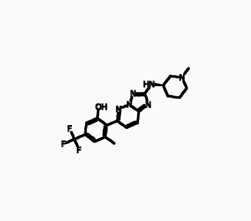 Cc1cc(C(F)(F)F)cc(O)c1-c1ccc2nc(N[C@@H]3CCCN(C)C3)nn2n1